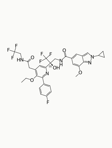 CCOc1c(CC(=O)NCC(F)(F)F)cc([C@@](O)(CNC(=O)c2cc(OC)c3nn(C4CC4)cc3c2)C(F)(F)F)nc1-c1ccc(F)cc1